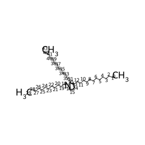 CCCCCCCCCCCCCc1ccc[n+](CCCCCCCCCCCC)c1CCCCCCCCCCCCC